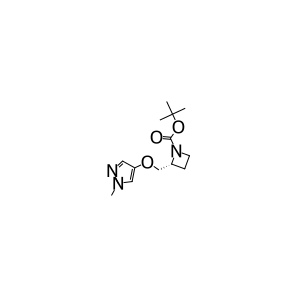 Cn1cc(OC[C@H]2CCN2C(=O)OC(C)(C)C)cn1